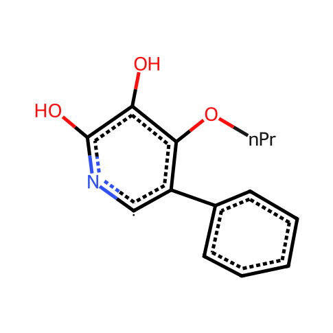 CCCOc1c(-c2ccccc2)[c]nc(O)c1O